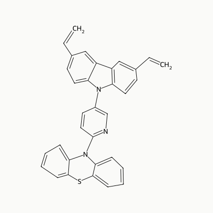 C=Cc1ccc2c(c1)c1cc(C=C)ccc1n2-c1ccc(N2c3ccccc3Sc3ccccc32)nc1